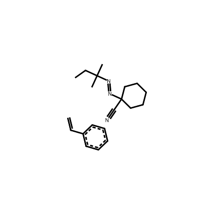 C=Cc1ccccc1.CCC(C)(C)N=NC1(C#N)CCCCC1